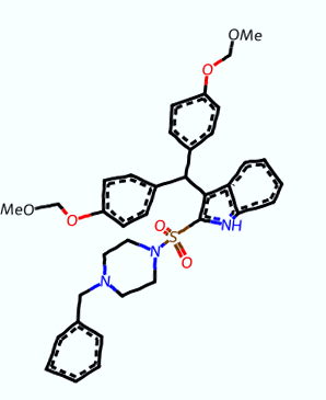 COCOc1ccc(C(c2ccc(OCOC)cc2)c2c(S(=O)(=O)N3CCN(Cc4ccccc4)CC3)[nH]c3ccccc23)cc1